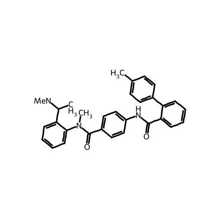 CNC(C)c1ccccc1N(C)C(=O)c1ccc(NC(=O)c2ccccc2-c2ccc(C)cc2)cc1